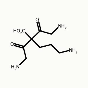 NCCCC(C(=O)O)(C(=O)CN)C(=O)CN